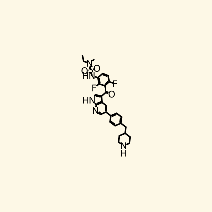 CCN(C)S(=O)(=O)Nc1ccc(F)c(C(=O)c2c[nH]c3ncc(-c4ccc(CC5CCNCC5)cc4)cc23)c1F